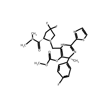 COC(=O)OC1=C(CN2CC(F)(F)C[C@H]2C(=O)N(C)C)NC(c2nccs2)=N[C@@]1(C)c1ccc(F)cc1